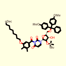 CCCCCCCCCCCCCCCCCCOc1cc(C(=O)n2c(=O)ccn([C@@H]3O[C@H](COC(c4ccccc4)(c4ccc(OC)cc4)c4ccc(OC)cc4)[C@H](O)C3O[Si](C)(C)C(C)(C)C)c2=O)cc(C)c1C